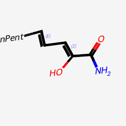 CCCCC/C=C/C=C(\O)C(N)=O